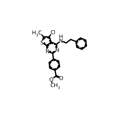 COC(=O)c1ccc(-c2nc(NCCc3ccccc3)c3c(Cl)c(C)sc3n2)cc1